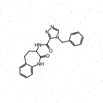 O=C(NC1CCc2ccccc2NC1=O)c1nncn1Cc1ccccc1